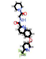 O=C(NCC(=O)N1CCCCC1)c1ccc2cc(Oc3ccc(C(F)(F)F)nc3)ccc2n1